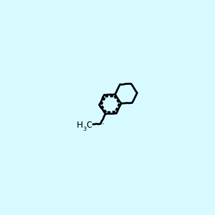 C[CH]c1ccc2c(c1)CCCC2